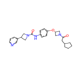 O=C(CC1CCCC1)N1CC(Oc2ccc(NC(=O)N3CC(c4cccnc4)C3)cc2)C1